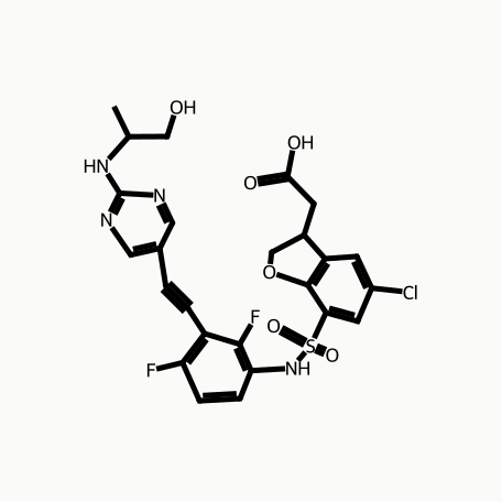 CC(CO)Nc1ncc(C#Cc2c(F)ccc(NS(=O)(=O)c3cc(Cl)cc4c3OCC4CC(=O)O)c2F)cn1